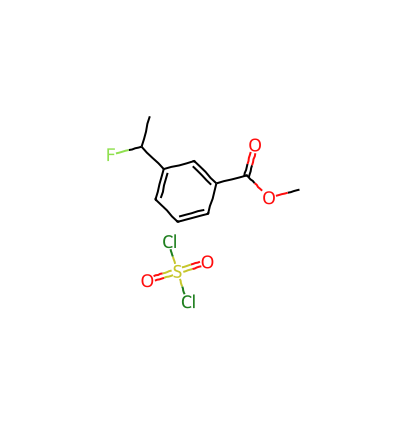 COC(=O)c1cccc(C(C)F)c1.O=S(=O)(Cl)Cl